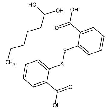 CCCCCC(O)O.O=C(O)c1ccccc1SSc1ccccc1C(=O)O